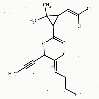 CC#CC(OC(=O)C1C(C=C(Cl)Cl)C1(C)C)/C(F)=C/CCF